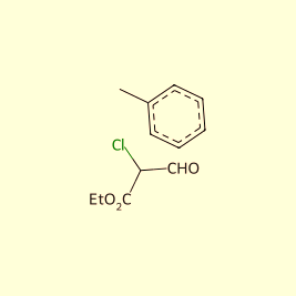 CCOC(=O)C(Cl)C=O.Cc1ccccc1